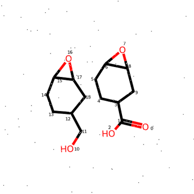 O=C(O)C1CCC2OC2C1.OCC1CCC2OC2C1